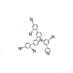 N#Cc1cc(-c2ccncc2)cc(-n2c3ccc(-c4ccc(C#N)cc4C#N)cc3c3cc(-c4ccc(C#N)cc4C#N)ccc32)c1